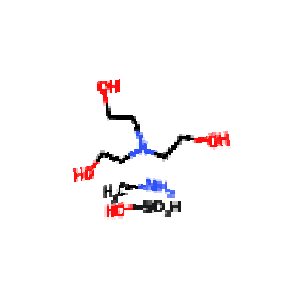 CN.O=S(=O)(O)O.OCCN(CCO)CCO